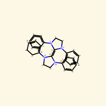 C1=C=C(N2CCN(c3ccccc3)/C2=C2/N(C3=CC=CCC3)CCN2c2ccccc2)C=CC=1